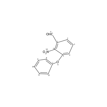 O=[C]c1cccc(Oc2ccccc2)c1[N+](=O)[O-]